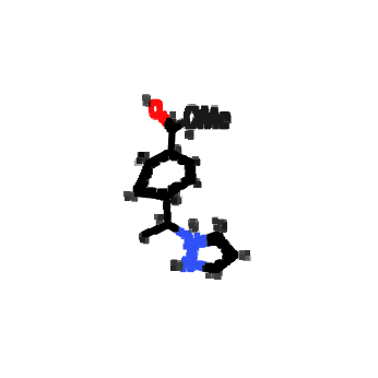 COC(=O)c1ccc(C(C)n2cccn2)cc1